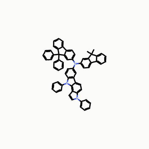 CC1(C)c2ccccc2-c2ccc(N(c3ccc4c(c3)C(c3ccccc3)(c3ccccc3)c3ccccc3-4)c3ccc4c(c3)c3ccc5c(ccn5-c5ccccc5)c3n4-c3ccccc3)cc21